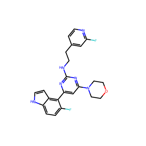 Fc1cc(CCNc2nc(-c3c(F)ccc4[nH]ccc34)cc(N3CCOCC3)n2)ccn1